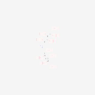 CN(C[C@H](O)[C@@H](O)[C@H](O)[C@H](O)CO)C[C@H](O)[C@@H](O)[C@H](O)[C@H](O)CO